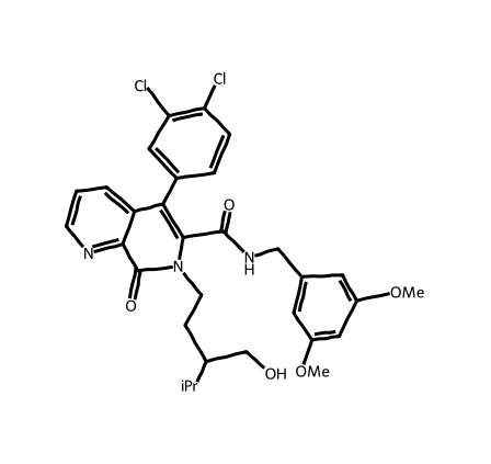 COc1cc(CNC(=O)c2c(-c3ccc(Cl)c(Cl)c3)c3cccnc3c(=O)n2CCC(CO)C(C)C)cc(OC)c1